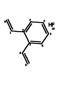 C=Cc1ccccc1C=C.F